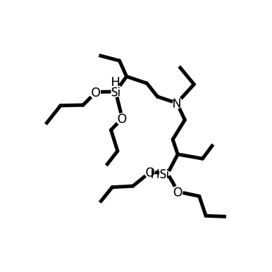 CCCO[SiH](OCCC)C(CC)CCN(CC)CCC(CC)[SiH](OCCC)OCCC